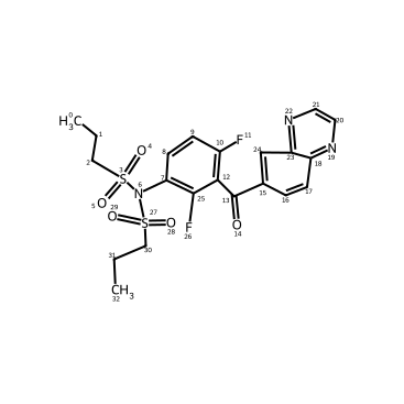 CCCS(=O)(=O)N(c1ccc(F)c(C(=O)c2ccc3nccnc3c2)c1F)S(=O)(=O)CCC